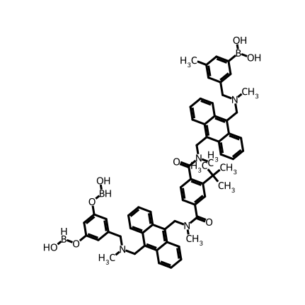 Cc1cc(CN(C)Cc2c3ccccc3c(CN(C)C(=O)c3ccc(C(=O)N(C)Cc4c5ccccc5c(CN(C)Cc5cc(OBO)cc(OBO)c5)c5ccccc45)cc3C(C)(C)C)c3ccccc23)cc(B(O)O)c1